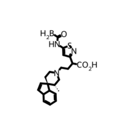 BC(=O)Nc1cc(C(CCN2CC[C@@]3(C=CC4C=CC=CC43)[C@@H](C)C2)C(=O)O)ns1